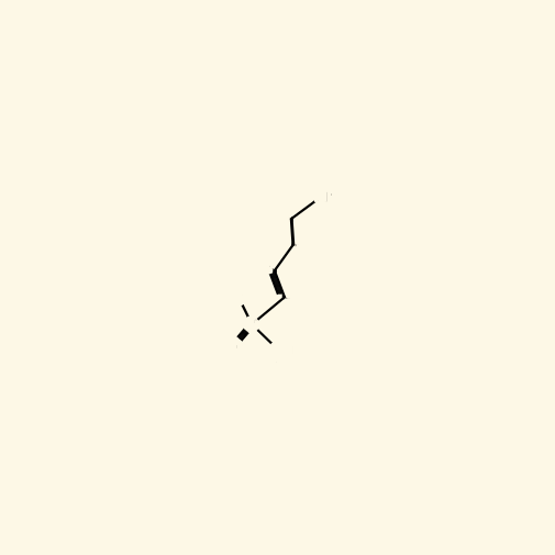 O=P(O)(O)C=CCCCl